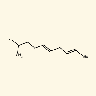 [CH2]C(C)C(C)CCC=CCC=CC(C)CC